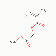 CCC=C(C)C(=O)OCC(=O)ONC